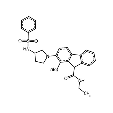 CCCCc1c(N2CCC(NS(=O)(=O)c3ccccc3)C2)ccc2c1C(C(=O)NCC(F)(F)F)c1ccccc1-2